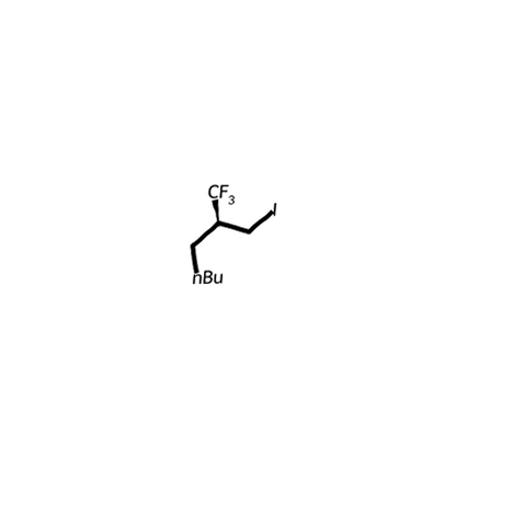 CCCCC[C@H](CI)C(F)(F)F